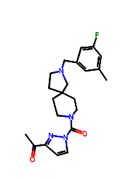 CC(=O)c1ccn(C(=O)N2CCC3(CCN(Cc4cc(C)cc(F)c4)C3)CC2)n1